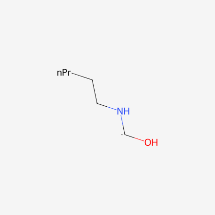 CCCCCN[CH]O